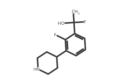 CC(O)(F)c1cccc(C2CCNCC2)c1F